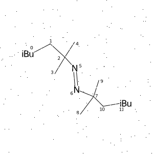 CCC(C)CC(C)(C)N=NC(C)(C)CC(C)CC